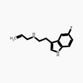 C=CCNCCc1c[nH]c2ccc(F)cc12